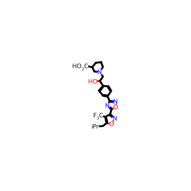 CC(C)Cc1onc(-c2nc(-c3ccc(C(O)CN4CCCC(C(=O)O)C4)cc3)no2)c1C(F)(F)F